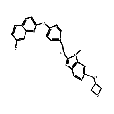 Cn1c(NCc2ccc(Oc3ccc4ccc(Cl)cc4n3)cc2)nc2ccc(NC3COC3)cc21